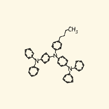 CCCCc1ccc(N(c2ccc(N(c3ccccc3)c3ccccc3)cc2)c2ccc(N(c3ccccc3)c3ccccc3)cc2)cc1